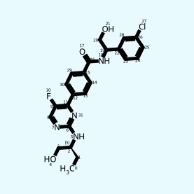 CC[C@@H](CO)Nc1ncc(F)c(-c2ccc(C(=O)NC(CO)c3cccc(Cl)c3)cc2)n1